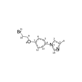 Cc1cn(-c2ccc(OCCBr)cc2)cn1